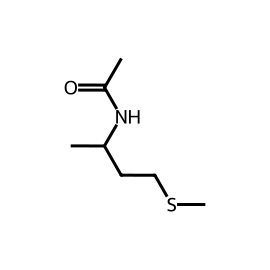 CSCCC(C)NC(C)=O